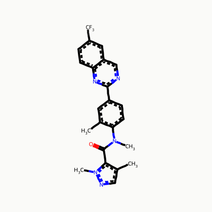 Cc1cc(-c2ncc3cc(C(F)(F)F)ccc3n2)ccc1N(C)C(=O)c1c(C)cnn1C